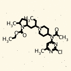 CCOC(=O)N1C(C)CCC1CC(CC)N1CCC(N(C(C)=O)c2cc(C)nc(Cl)n2)CC1